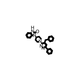 O=c1[nH]c2ccccc2n1C1CCN(c2nnc(-c3ccccc3)cc2Cc2ccccc2)CC1